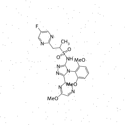 COc1cncc(-c2nnc(NS(=O)(=O)C(C)Cc3ncc(F)cn3)n2-c2c(OC)cccc2OC)n1